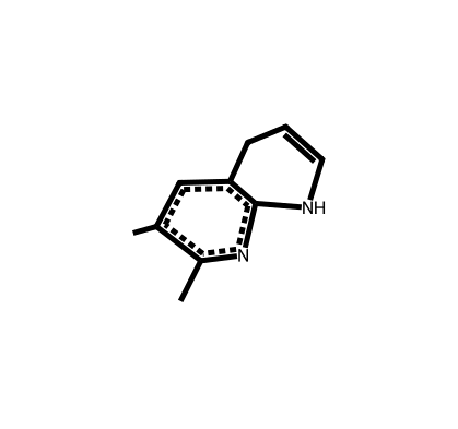 Cc1cc2c(nc1C)NC=CC2